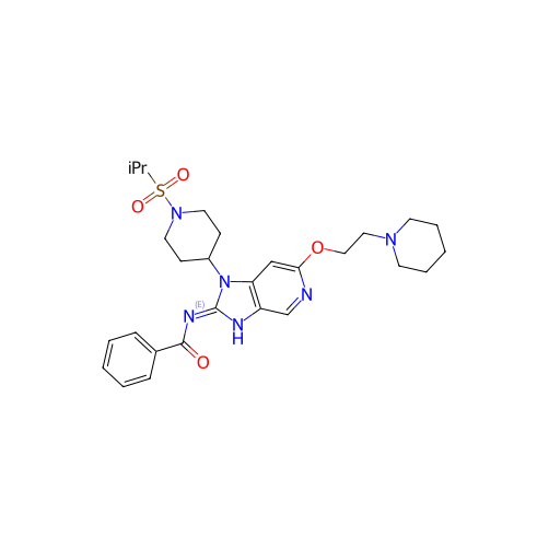 CC(C)S(=O)(=O)N1CCC(n2/c(=N/C(=O)c3ccccc3)[nH]c3cnc(OCCN4CCCCC4)cc32)CC1